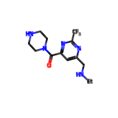 CCNCc1cc(C(=O)N2CCNCC2)nc(C(F)(F)F)n1